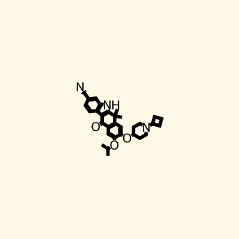 CC(C)Oc1cc2c(cc1OC1CCN(C3CCC3)CC1)C(C)(C)c1[nH]c3cc(C#N)ccc3c1C2=O